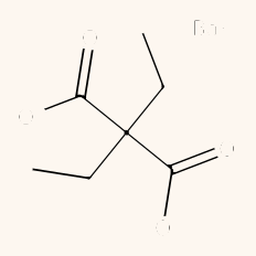 CCC(CC)(C(=O)[O-])C(=O)[O-].[Ba+2]